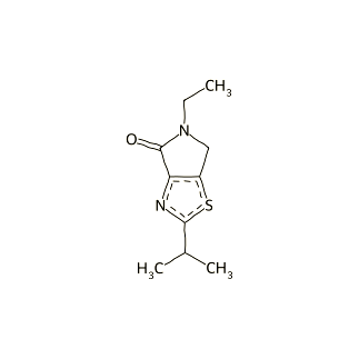 CCN1Cc2sc(C(C)C)nc2C1=O